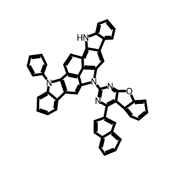 c1ccc(-n2c3ccccc3c3cc4c5c(ccc6c7[nH]c8ccccc8c7cc(c65)n4-c4nc(-c5ccc6ccccc6c5)c5c(n4)oc4ccccc45)c32)cc1